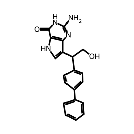 Nc1nc2c(C(CO)c3ccc(-c4ccccc4)cc3)c[nH]c2c(=O)[nH]1